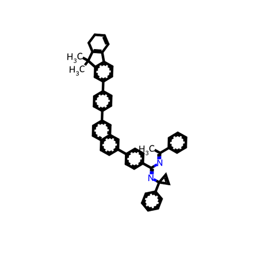 C/C(=N\C(=N/C1(c2ccccc2)C=C1)c1ccc(-c2ccc3ccc(-c4ccc(-c5ccc6c(c5)C(C)(C)C5=C6C=CCC5)cc4)cc3c2)cc1)c1ccccc1